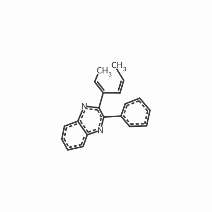 C/C=C\C(=C/C)c1nc2ccccc2nc1-c1ccccc1